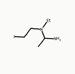 CCN(CCI)C(C)N